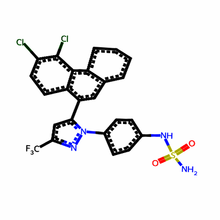 NS(=O)(=O)Nc1ccc(-n2nc(C(F)(F)F)cc2-c2cc3ccccc3c3c(Cl)c(Cl)ccc23)cc1